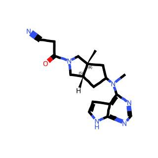 CN(c1ncnc2[nH]ccc12)C1C[C@@H]2CN(C(=O)CC#N)C[C@]2(C)C1